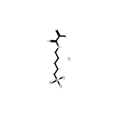 C=C(C)C(=O)OCCCCC[N+](CC)(CC)CC.[Cl-]